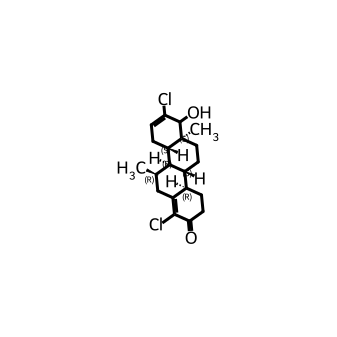 C[C@@H]1CC2=C(Cl)C(=O)CC[C@@H]2[C@H]2CC[C@]3(C)C(O)C(Cl)=CC[C@H]3[C@@H]21